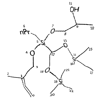 C=C(C)CO[Si](CCC)(OCC(C)O)C(O[Si](C)(C)C)O[Si](C)(C)C